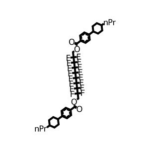 CCCC1CCC(c2ccc(C(=O)OCC(F)(F)C(F)(F)C(F)(F)C(F)(F)C(F)(F)C(F)(F)C(F)(F)C(F)(F)COC(=O)c3ccc(C4CCC(CCC)CC4)cc3)cc2)CC1